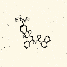 CCN(CC)c1ccc2nc3c4ccccc4c(=NC(=O)c4cccc5ccccc45)cc-3oc2c1